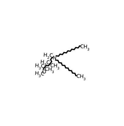 C=C(CCC(C)(C)CCC(C)(C)COC)N(CCCCCCCCCCCCCC)CCCCCCCCCCCCCC